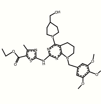 CCOC(=O)c1sc(Nc2nc(N3CCC(CO)CC3)c3c(n2)N(Cc2cc(OC)c(OC)c(OC)c2)CCC3)nc1C